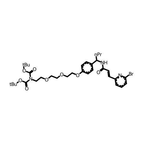 CCCC(NC(=O)/C=C/c1cccc(Br)n1)c1ccc(OCCOCCOCCN(C(=O)OC(C)(C)C)C(=O)OC(C)(C)C)cc1